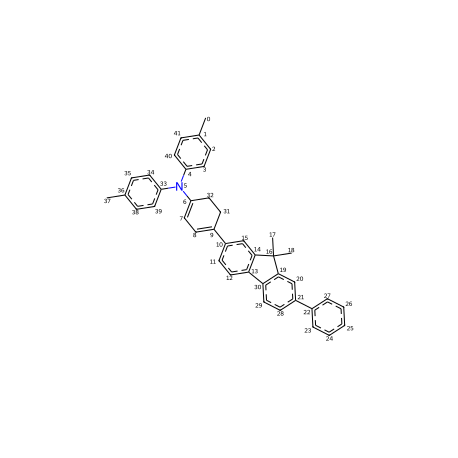 Cc1ccc(N(C2=CC=C(c3ccc4c(c3)C(C)(C)c3cc(-c5ccccc5)ccc3-4)CC2)c2ccc(C)cc2)cc1